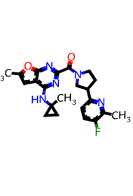 Cc1cc2c(NC3(C)CC3)nc(C(=O)N3CCC(c4ccc(F)c(C)n4)C3)nc2o1